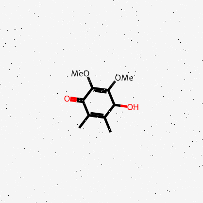 COC1=C(OC)C(O)C(C)=C(C)C1=O